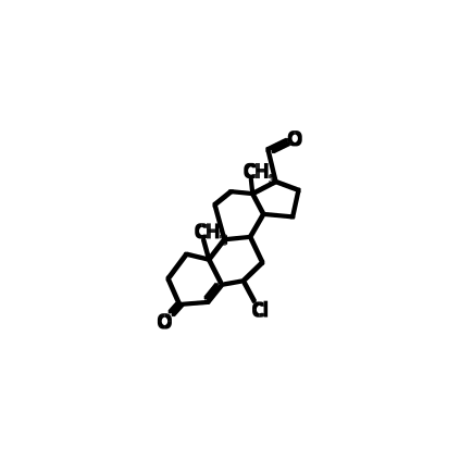 CC12CCC(=O)C=C1C(Cl)CC1C2CCC2(C)C(C=O)CCC12